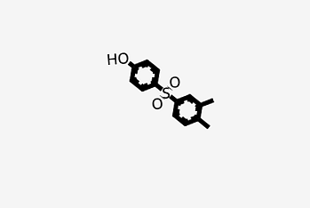 Cc1ccc(S(=O)(=O)c2ccc(O)cc2)cc1C